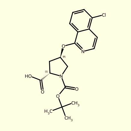 CC(C)(C)OC(=O)N1C[C@H](Oc2nccc3c(Cl)cccc23)C[C@H]1C(=O)O